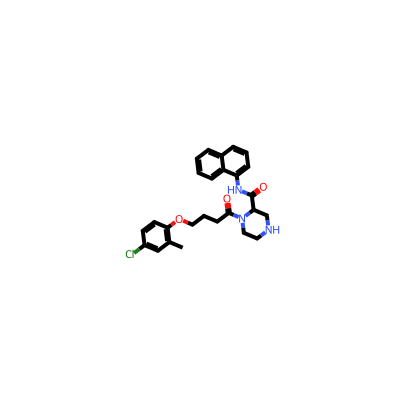 Cc1cc(Cl)ccc1OCCCC(=O)N1CCNCC1C(=O)Nc1cccc2ccccc12